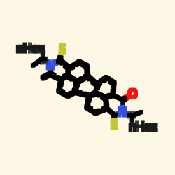 C=c1c2ccc3c4ccc5c6c(ccc(c7ccc(c(=S)n1[C@@H](C)CCCCCC)c2c37)c64)C(=O)N([C@@H](C)CCCCCC)C5=S